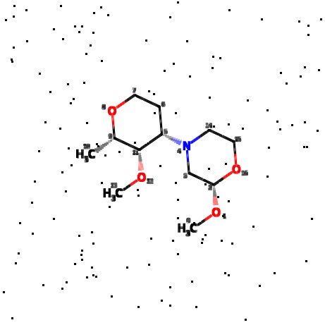 CO[C@@H]1CN([C@H]2CCO[C@@H](C)[C@H]2OC)CCO1